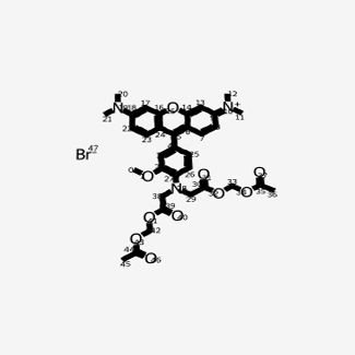 COc1cc(-c2c3ccc(=[N+](C)C)cc-3oc3cc(N(C)C)ccc23)ccc1N(CC(=O)OCOC(C)=O)CC(=O)OCOC(C)=O.[Br-]